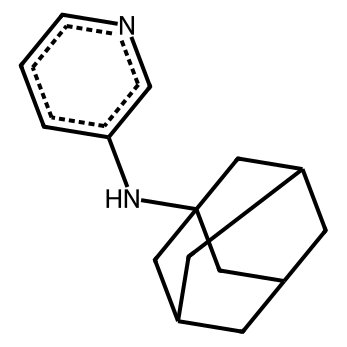 c1cncc(NC23CC4CC(CC(C4)C2)C3)c1